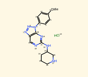 COc1ccc(-n2nnc3cnc(NC4CCCNC4)nc32)cc1.Cl